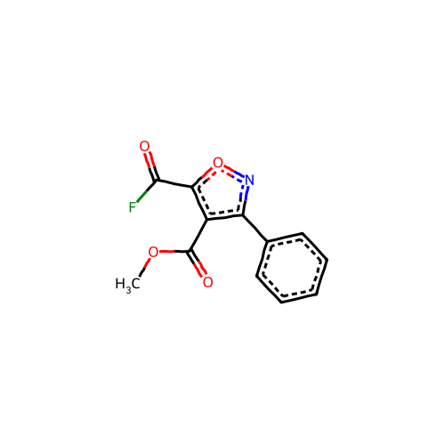 COC(=O)c1c(-c2ccccc2)noc1C(=O)F